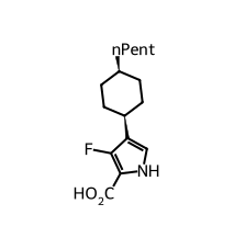 CCCCC[C@H]1CC[C@@H](c2c[nH]c(C(=O)O)c2F)CC1